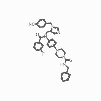 N#Cc1ccc(Cn2cncc2CN(C(=O)c2cccc(F)c2)c2ccc(N3CCN(C(=S)NCc4ccccc4)CC3)cc2)cc1